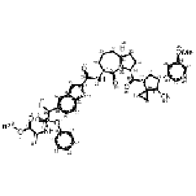 CCCOC(=O)[C@H](C)NP(=O)(Oc1ccccc1)[C@@H](F)c1ccc2sc(C(=O)N[C@H]3CCC[C@H]4CC[C@@H](C(=O)N5C[C@H](c6cncc(OC)c6)[C@@H](C#N)C56CC6)N4C3=O)cc2c1